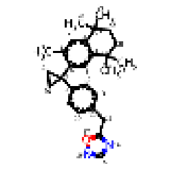 Cc1cc2c(cc1C1(c3ccc(Cc4ncno4)cc3)CC1)C(C)(C)CCC2(C)C